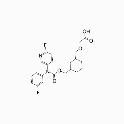 O=C(O)COCC1CCCC(COC(=O)N(c2ccc(F)nc2)c2cccc(F)c2)C1